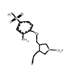 NS(=O)(=O)c1ccc(OCC2CN(C(=O)O)CC2CF)c([N+](=O)[O-])c1